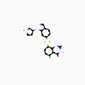 Cn1ccc(-n2ncc3ccc(S(=O)(=O)c4ccc(Cl)c5c(=O)n(O)c(=O)[nH]c45)cc32)c1